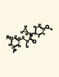 COc1ccc(N(C(=O)[C@@H](C)Cc2cc(F)cc(F)c2)C2CC2)cc1